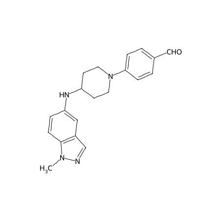 Cn1ncc2cc(NC3CCN(c4ccc(C=O)cc4)CC3)ccc21